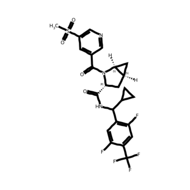 CS(=O)(=O)c1cncc(C(=O)N2[C@@H](C(=O)NC(c3cc(F)c(C(F)(F)F)cc3F)C3CC3)C[C@@H]3C[C@@H]32)c1